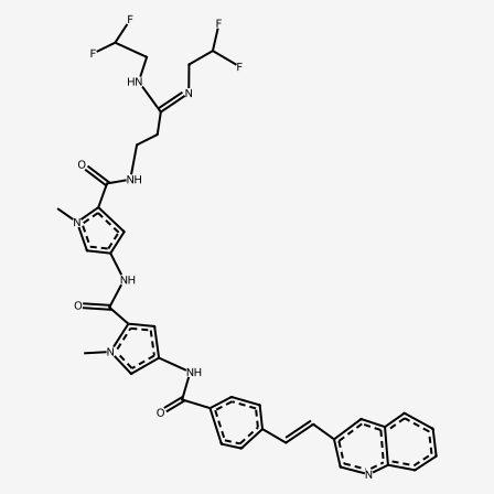 Cn1cc(NC(=O)c2cc(NC(=O)c3ccc(/C=C/c4cnc5ccccc5c4)cc3)cn2C)cc1C(=O)NCC/C(=N/CC(F)F)NCC(F)F